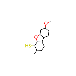 COC1CCC2C(C1)OC1C(S)C(C)CCC21